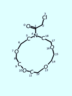 O=C(CCl)N1CCOCCOCCOCCOCC1